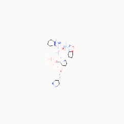 O=C(O)c1nc(-c2ccc3c(c2)N(C(=O)Nc2nc4ccccc4[nH]2)CCO3)ccc1OCCCc1ccncc1